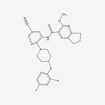 COc1nc2c(cc1C(=O)Nc1cc(C#N)ccc1N1CCC(Oc3ccc(F)cc3F)CC1)CCC2